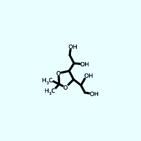 CC1(C)OC(C(O)CO)C(C(O)CO)O1